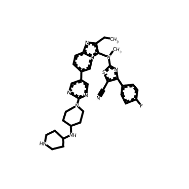 CCc1nc2ccc(-c3cnc(N4CCC(NC5CCNCC5)CC4)nc3)cn2c1N(C)c1nc(-c2ccc(F)cc2)c(C#N)s1